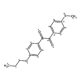 CCCOc1ccc(C(=O)C(=O)c2ccc(SC)cc2)cc1